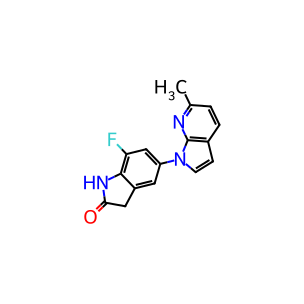 Cc1ccc2ccn(-c3cc(F)c4c(c3)CC(=O)N4)c2n1